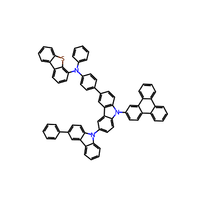 c1ccc(-c2ccc3c(c2)c2ccccc2n3-c2ccc3c(c2)c2cc(-c4ccc(N(c5ccccc5)c5cccc6c5sc5ccccc56)cc4)ccc2n3-c2ccc3c4ccccc4c4ccccc4c3c2)cc1